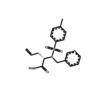 C=CC[C@@H](C(=O)NC)N(Cc1cccnc1)S(=O)(=O)c1ccc(C)cc1